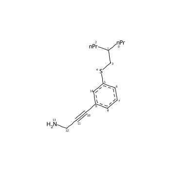 CCCC(CCC)CSc1cccc(C#CCN)c1